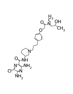 CC(O)CN(C)C(=O)COc1ccc(CCCN2CCCC(NC(=O)c3nc(Cl)c(N)nc3N)C2)cc1